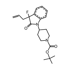 C=CCC1(F)C(=O)N(C2CCN(C(=O)OC(C)(C)C)CC2)c2ccccc21